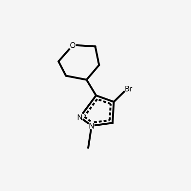 Cn1cc(Br)c(C2CCOCC2)n1